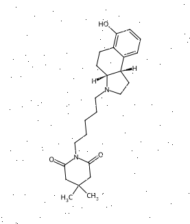 CC1(C)CC(=O)N(CCCCCN2CC[C@H]3c4cccc(O)c4CC[C@H]32)C(=O)C1